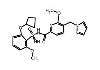 COc1cccc(OC2CCC2)c1[S@@](=N)(=O)NC(=O)c1ccc(Cn2cccn2)c(OC)n1